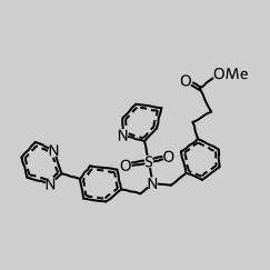 COC(=O)CCc1cccc(CN(Cc2ccc(-c3ncccn3)cc2)S(=O)(=O)c2ccccn2)c1